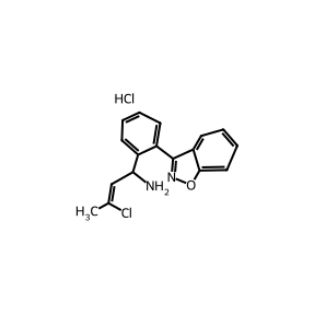 CC(Cl)=CC(N)c1ccccc1-c1noc2ccccc12.Cl